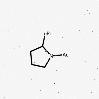 CCCC1CCCN1C(C)=O